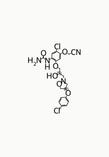 N#CCOc1cc(OC[C@@H](O)CN2C[C@@H](Oc3ccc(Cl)cc3)CO2)c(NC(N)=O)cc1Cl